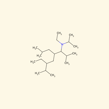 CCC(CC(CC(C)C)C(C(C)C)N(CC)C(C)C)C(C)C